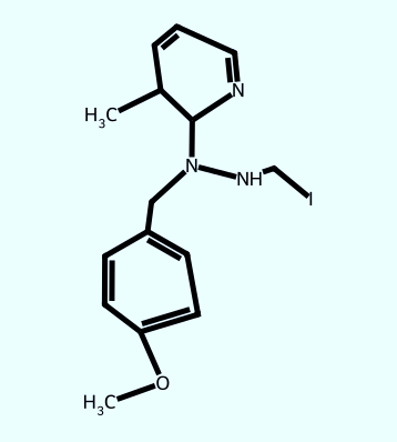 COc1ccc(CN(NCI)C2N=CC=CC2C)cc1